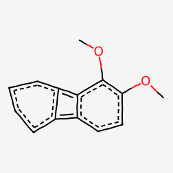 COc1ccc2c(c1OC)=c1ccccc1=2